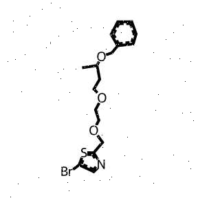 CC(CCOCCOCc1ncc(Br)s1)OCc1ccccc1